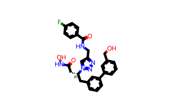 O=C(C[C@@H](Cc1cccc(-c2cccc(CO)c2)c1)n1cc(CNC(=O)c2ccc(F)cc2)nn1)NO